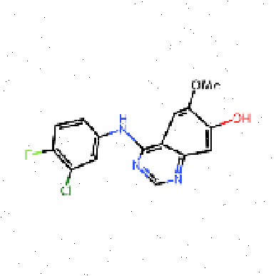 COc1cc2c(Nc3ccc(F)c(Cl)c3)ncnc2cc1O